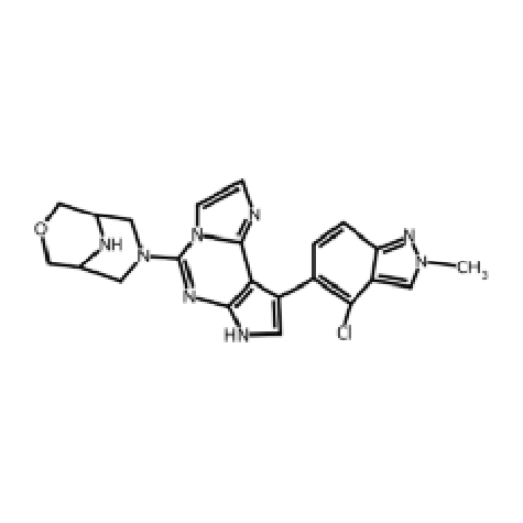 Cn1cc2c(Cl)c(-c3c[nH]c4nc(N5CC6COCC(C5)N6)n5ccnc5c34)ccc2n1